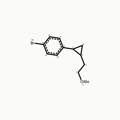 COCCC1CC1c1ccc(Br)cc1